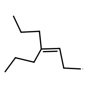 [CH2]CC=C(CCC)CCC